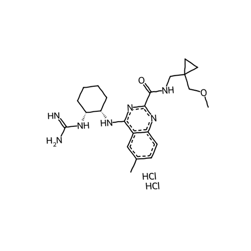 COCC1(CNC(=O)c2nc(N[C@H]3CCCC[C@H]3NC(=N)N)c3cc(C)ccc3n2)CC1.Cl.Cl